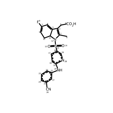 CC1=C(CC(=O)O)C2=CC(F)=CCC2N1S(=O)(=O)c1ccc(Nc2cccc(C#N)c2)nc1